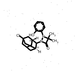 CC1(C)C(=O)N(C2[C@@H]3CC4C[C@H]2CC(Cl)(C4)C3)N1c1ccccc1O